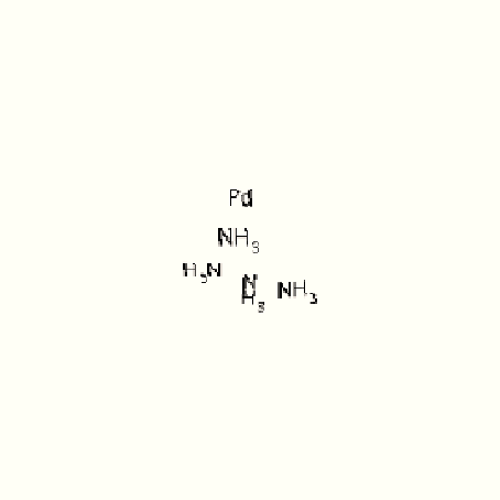 N.N.N.N.[Pd]